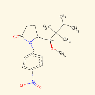 CC(C)C(C)(C)[C@@H](O[SiH3])C1CCC(=O)N1c1ccc([N+](=O)[O-])cc1